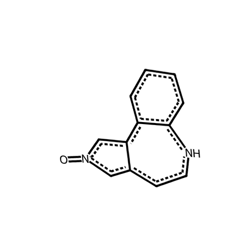 O=[n+]1cc2cc[nH]c3ccccc3c-2c1